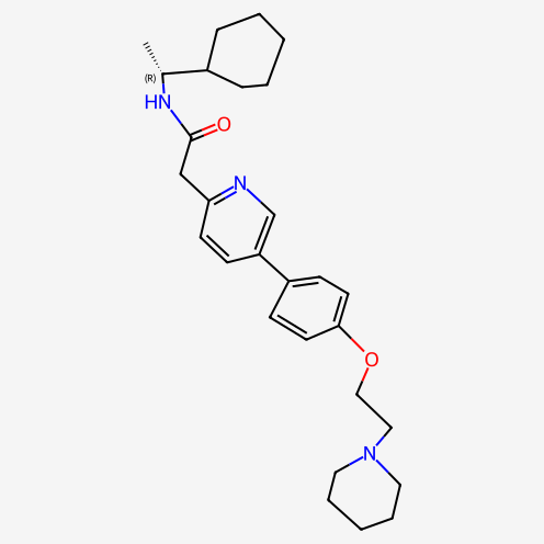 C[C@@H](NC(=O)Cc1ccc(-c2ccc(OCCN3CCCCC3)cc2)cn1)C1CCCCC1